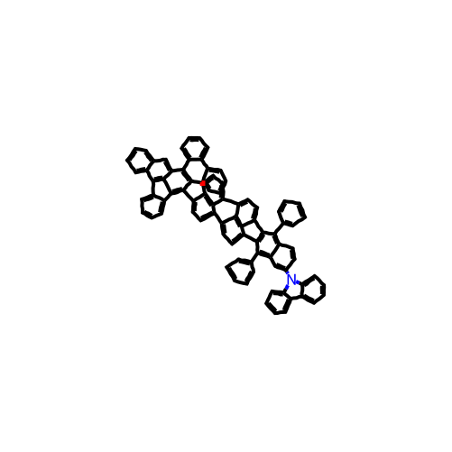 c1ccc(-c2ccccc2-c2c3cc4ccccc4c4c5ccccc5c(c5c6ccc7c8ccc9c%10c(ccc(c%11ccc(c25)c6c%117)c%108)-c2c-9c(-c5ccccc5)c5cc(-n6c7ccccc7c7ccccc76)ccc5c2-c2ccccc2)c34)cc1